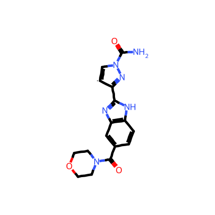 NC(=O)n1c[c]c(-c2nc3cc(C(=O)N4CCOCC4)ccc3[nH]2)n1